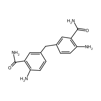 NC(=O)c1cc(Cc2ccc(N)c(C(N)=O)c2)ccc1N